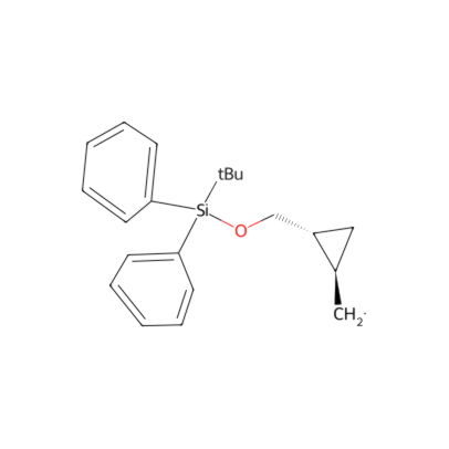 [CH2][C@@H]1C[C@H]1CO[Si](c1ccccc1)(c1ccccc1)C(C)(C)C